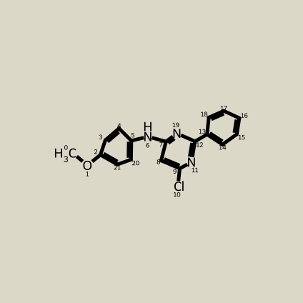 COc1ccc(Nc2cc(Cl)nc(-c3ccccc3)n2)cc1